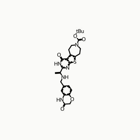 C=C(NCc1ccc2c(c1)NC(=O)CO2)c1nc2sc3c(c2c(=O)[nH]1)CCN(C(=O)OC(C)(C)C)CC3